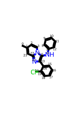 Cc1ccn2c(Nc3ccccc3)c(-c3ccccc3Cl)nc2c1